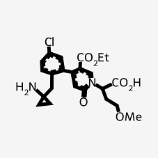 CCOC(=O)c1cn(C(CCOC)C(=O)O)c(=O)cc1-c1cc(Cl)ccc1CC1(N)CC1